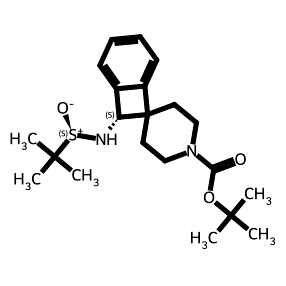 CC(C)(C)OC(=O)N1CCC2(CC1)c1ccccc1[C@H]2N[S@+]([O-])C(C)(C)C